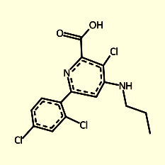 CCCNc1cc(-c2ccc(Cl)cc2Cl)nc(C(=O)O)c1Cl